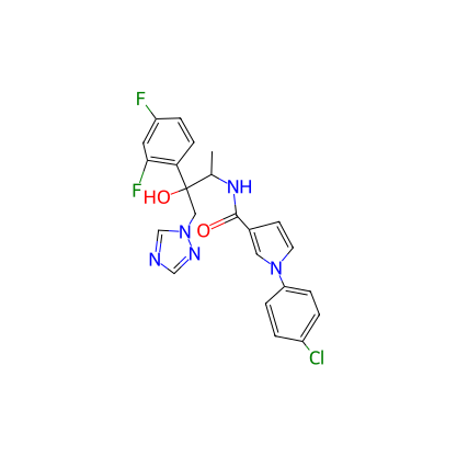 CC(NC(=O)c1ccn(-c2ccc(Cl)cc2)c1)C(O)(Cn1cncn1)c1ccc(F)cc1F